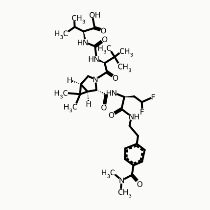 CC(C)[C@H](NC(=O)N[C@H](C(=O)N1C[C@H]2[C@@H]([C@H]1C(=O)N[C@@H](CC(F)F)C(=O)NCCc1ccc(C(=O)N(C)C)cc1)C2(C)C)C(C)(C)C)C(=O)O